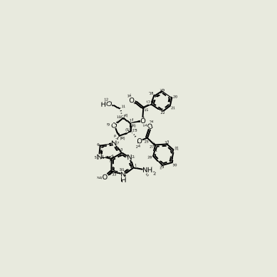 Nc1nc2c(ncn2[C@@H]2O[C@H](CO)[C@@H](OC(=O)c3ccccc3)[C@@H]2OC(=O)c2ccccc2)c(=O)[nH]1